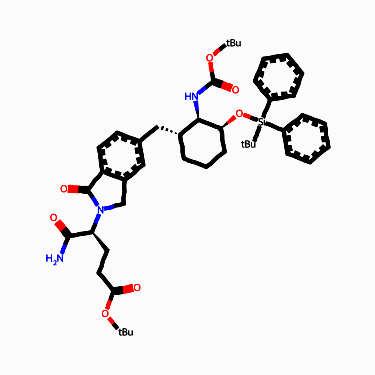 CC(C)(C)OC(=O)CC[C@@H](C(N)=O)N1Cc2cc(C[C@H]3CCC[C@H](O[Si](c4ccccc4)(c4ccccc4)C(C)(C)C)[C@@H]3NC(=O)OC(C)(C)C)ccc2C1=O